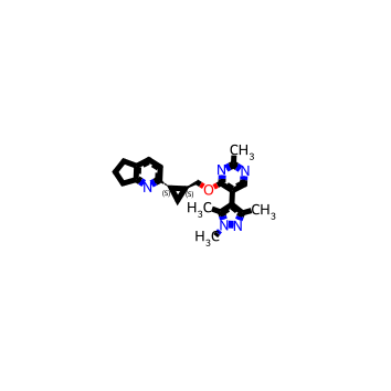 Cc1ncc(-c2c(C)nn(C)c2C)c(OC[C@H]2C[C@@H]2c2ccc3c(n2)CCC3)n1